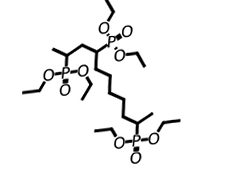 CCOP(=O)(OCC)C(C)CCCCCC(CC(C)P(=O)(OCC)OCC)P(=O)(OCC)OCC